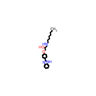 CCCCCCCCNCC(O)COc1ccc(-c2nc3ccccc3[nH]2)cc1